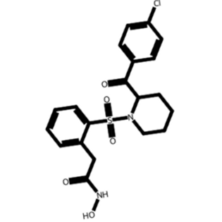 O=C(Cc1ccccc1S(=O)(=O)N1CCCCC1C(=O)c1ccc(Cl)cc1)NO